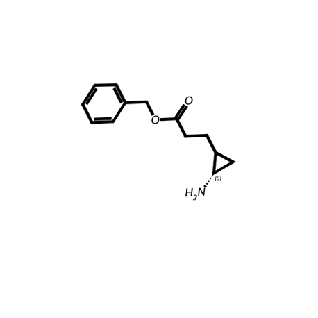 N[C@H]1CC1CCC(=O)OCc1ccccc1